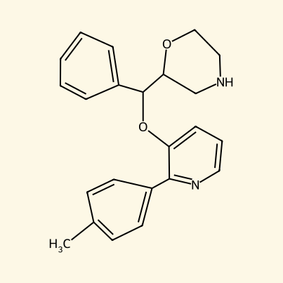 Cc1ccc(-c2ncccc2OC(c2ccccc2)C2CNCCO2)cc1